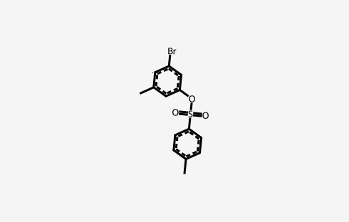 Cc1[c]c(Br)cc(OS(=O)(=O)c2ccc(C)cc2)c1